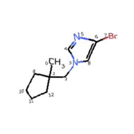 CC1(Cn2cnc(Br)c2)CCCC1